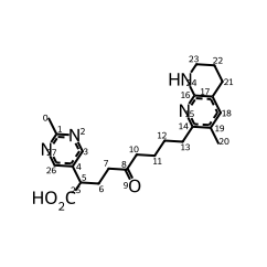 Cc1ncc(C(CCC(=O)CCCCc2nc3c(cc2C)CCCN3)C(=O)O)cn1